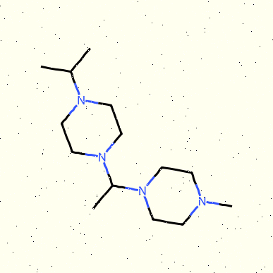 CC(C)N1CCN(C(C)N2CCN(C)CC2)CC1